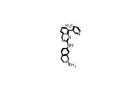 Cc1ccncc1-c1cccc2cnc(Nc3ccc4c(c3)CN(C)CC4)nc12